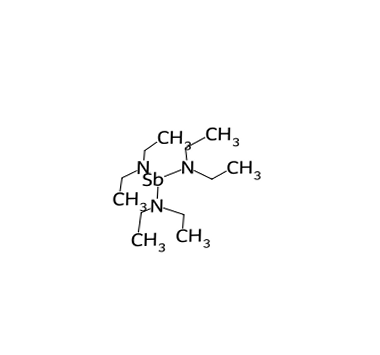 CC[N](CC)[Sb]([N](CC)CC)[N](CC)CC